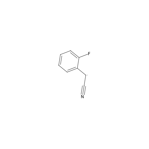 N#C[CH]c1ccccc1F